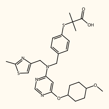 COC1CCC(Oc2cc(N(Cc3ccc(SC(C)(C)C(=O)O)cc3)Cc3csc(C)n3)ncn2)CC1